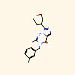 Cc1cccc(Cn2c(C)nn3c(C4CCOCC4)ncc3c2=O)c1